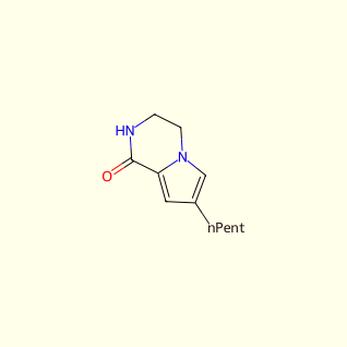 CCCCCc1cc2n(c1)CCNC2=O